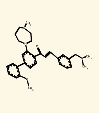 COc1ccccc1-c1ccc(C(=O)/C=C/c2cccc(CN(C)C)c2)c(N2CCCN(C)CC2)c1